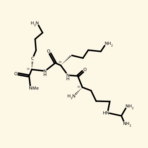 CNC(=O)[C@H](CCCCN)NC(=O)[C@H](CCCCN)NC(=O)[C@@H](N)CCCNC(N)N